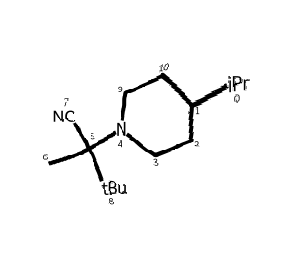 CC(C)C1CCN(C(C)(C#N)C(C)(C)C)CC1